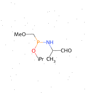 COCP(NC(C)C=O)OC(C)C